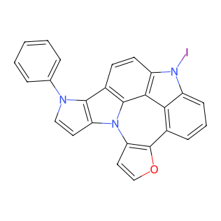 In1c2cccc3c4occc4n4c5ccn(-c6ccccc6)c5c5ccc1c(c32)c54